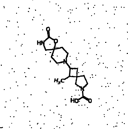 CC1C(N2CCC3(CC2)CNC(=O)O3)CC12CCN(C(=O)O)C2